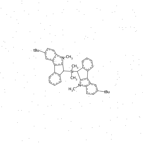 Cn1c2c(c3cc(C(C)(C)C)ccc31)-c1ccccc1C2[Si](C)(C)C1c2ccccc2-c2c1n(C)c1ccc(C(C)(C)C)cc21